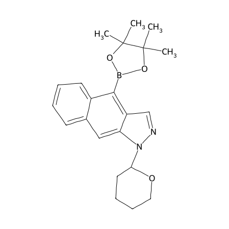 CC1(C)OB(c2c3ccccc3cc3c2cnn3C2CCCCO2)OC1(C)C